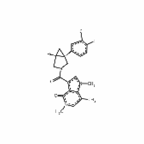 Cc1cn(C)c(=O)c2c(C(=O)N3C[C@@H]4C[C@]4(c4ccc(Cl)c(Cl)c4)C3)cn(C)c12